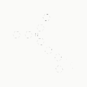 CC1(C)c2cc(-c3ccc4c(c3)-c3ccccc3C43C4CC5CC(C4)CC3C5)ccc2-c2ccc(N(c3ccc(-c4ccccc4)cc3)c3ccc(-c4ccccc4)cc3)cc21